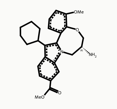 COC(=O)c1ccc2c(C3CCCCC3)c3n(c2c1)C[C@@H](N)COc1c(OC)cccc1-3